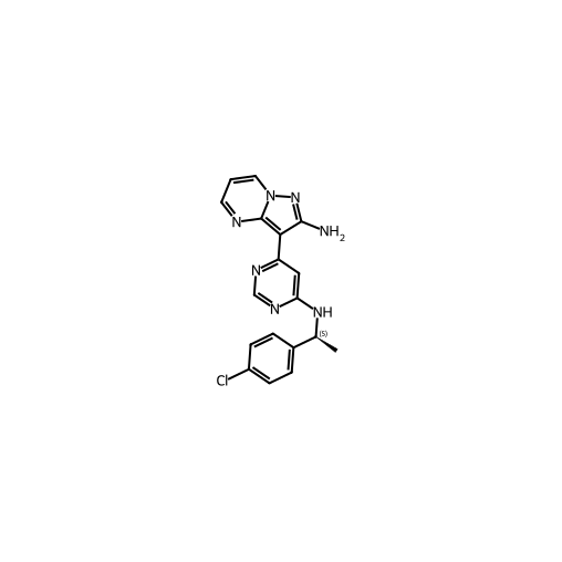 C[C@H](Nc1cc(-c2c(N)nn3cccnc23)ncn1)c1ccc(Cl)cc1